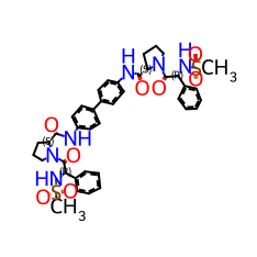 CS(=O)(=O)N[C@@H](C(=O)N1CCC[C@H]1C(=O)Nc1ccc(-c2ccc(NC(=O)[C@@H]3CCCN3C(=O)[C@H](NS(C)(=O)=O)c3ccccc3)cc2)cc1)c1ccccc1